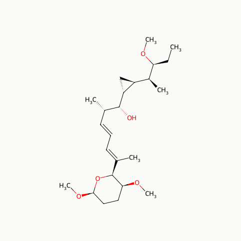 CC[C@H](OC)[C@@H](C)[C@@H]1C[C@H]1[C@H](O)[C@@H](C)/C=C/C=C(\C)[C@@H]1O[C@H](OC)CC[C@@H]1OC